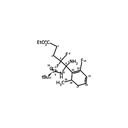 CCOC(=O)CCC(F)(F)C(N)(N[S@+]([O-])C(C)(C)C)C1=C(F)C=CCC1C